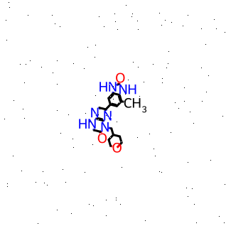 Cc1cc(-c2cnc3c(n2)N(CC2CCOCC2)C(=O)CN3)cc2[nH]c(=O)[nH]c12